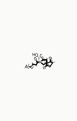 CC(=O)SCCC(=O)N1CC2(C[C@H]1C(=O)O)C(=O)CCC2=O